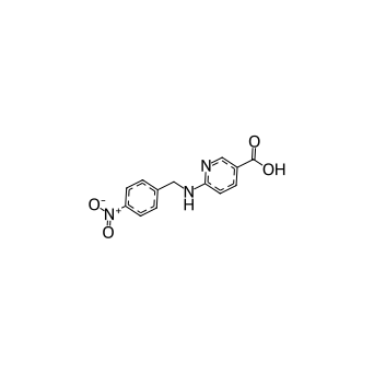 O=C(O)c1ccc(NCc2ccc([N+](=O)[O-])cc2)nc1